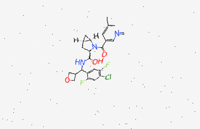 C=N/C=C(\C=C(C)C)C(=O)N1[C@@H](C(O)N[C@@H](c2cc(F)c(Cl)cc2F)C2COC2)C[C@H]2C[C@H]21